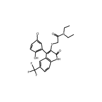 CCN(CC)C(=O)CSc1c(-c2cc(Cl)ccc2O)c2cc(C(F)(F)F)ccc2[nH]c1=O